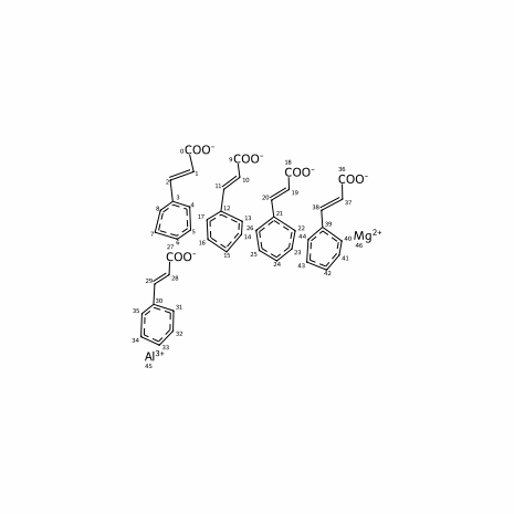 O=C([O-])C=Cc1ccccc1.O=C([O-])C=Cc1ccccc1.O=C([O-])C=Cc1ccccc1.O=C([O-])C=Cc1ccccc1.O=C([O-])C=Cc1ccccc1.[Al+3].[Mg+2]